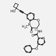 CN1C(=O)[C@@H](NC(=O)c2cc(Oc3ccccc3)ccn2)COc2ccc(C#CC3(O)CCC3)cc21